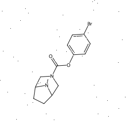 CN1C2CCC1CN(C(=O)Oc1ccc(Br)cc1)C2